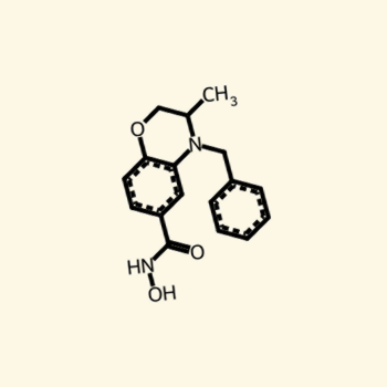 CC1COc2ccc(C(=O)NO)cc2N1Cc1ccccc1